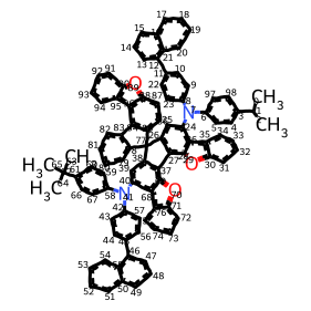 CC(C)c1ccc(N(c2ccc(-c3cccc4ccccc34)cc2)c2cc3c(c4oc5ccccc5c24)-c2c(cc(N(c4ccc(-c5cccc6ccccc56)cc4)c4ccc(C(C)(C)C)cc4)c4c2oc2ccccc24)C32c3ccccc3-c3c2ccc2oc4ccccc4c32)cc1